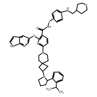 CC(C)c1ccccc1C1CCCN1C1CC2(CCN(c3ccc(C(=O)NSc4ccc(NCC5CCOCC5)cc4)c(Oc4cnc5[nH]ccc5c4)n3)CC2)C1